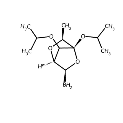 B[C@@H]1O[C@]2(OC(C)C)C(OC(C)C)[C@@H]1O[C@H]2C